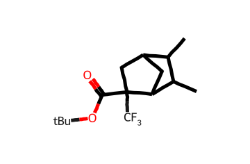 CC1C2CC(C1C)C(C(=O)OC(C)(C)C)(C(F)(F)F)C2